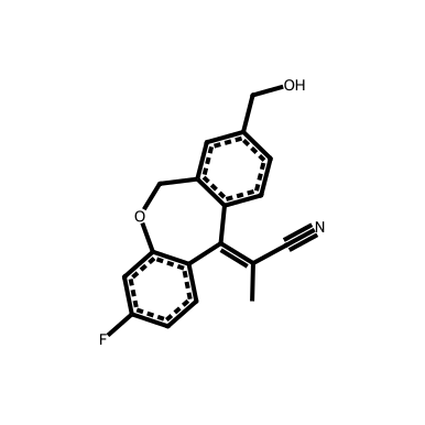 C/C(C#N)=C1/c2ccc(CO)cc2COc2cc(F)ccc21